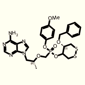 COc1ccc(OP(=O)(CO[C@H](C)Cn2cnc3c(N)ncnc32)OC2CSSC[C@H]2OCc2ccccc2)cc1